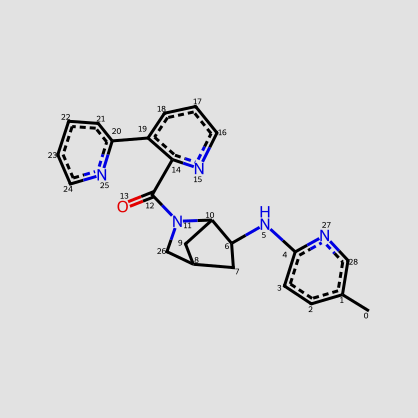 Cc1ccc(NC2CC3CC2N(C(=O)c2ncccc2-c2ccccn2)C3)nc1